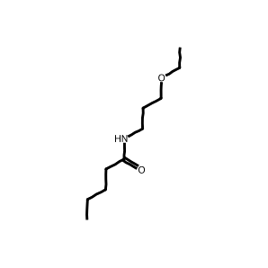 CCCCC(=O)NCCCOCC